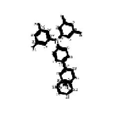 Cc1cc(C)cc(N(c2ccc(-c3ccc4c(c3)C3CCCC4CC3)cc2)c2cc(C)cc(C)c2)c1